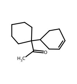 CC(=O)C1(C2CC=CCC2)CCCCC1